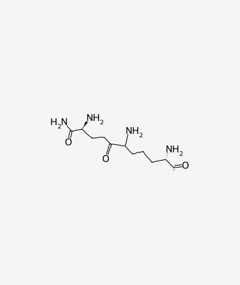 NC(=O)[C@@H](N)CCC(=O)C(N)CCC[C@H](N)[C]=O